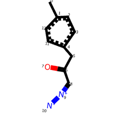 Cc1ccc(CC(=O)C=[N+]=[N-])cc1